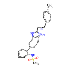 Cc1ccc(/C=C/c2nc3cc(-c4ccccc4NS(C)(=O)=O)ccc3[nH]2)cc1